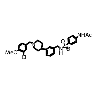 COc1ccc(CN2CCC(c3cccc(CNS(=O)(=O)c4ccc(NC(C)=O)cc4)c3)CC2)cc1Cl